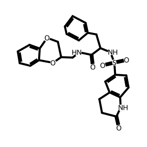 O=C1CCc2cc(S(=O)(=O)NC(Cc3ccccc3)C(=O)NCC3COc4ccccc4O3)ccc2N1